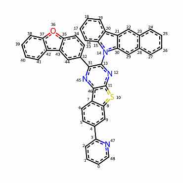 c1ccc(-c2ccc3c(c2)sc2nc(-n4c5ccccc5c5cc6ccccc6cc54)c(-c4ccc5oc6ccccc6c5c4)nc23)nc1